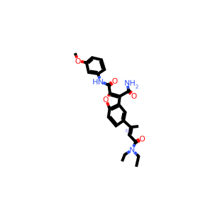 CCN(CC)C(=O)/C=C(\C)c1ccc2oc(C(=O)Nc3cccc(OC)c3)c(C(N)=O)c2c1